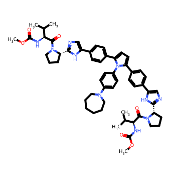 COC(=O)N[C@H](C(=O)N1CCC[C@H]1c1ncc(-c2ccc(-c3ccc(-c4ccc(-c5cnc([C@@H]6CCCN6C(=O)[C@@H](NC(=O)OC)C(C)C)[nH]5)cc4)n3-c3ccc(N4CCCCCC4)cc3)cc2)[nH]1)C(C)C